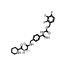 C[C@H](NC(=O)C1CCCCN1)C(=O)NCc1ccc(C(=N)NC(=O)OCc2ccc(F)c(F)c2F)cc1